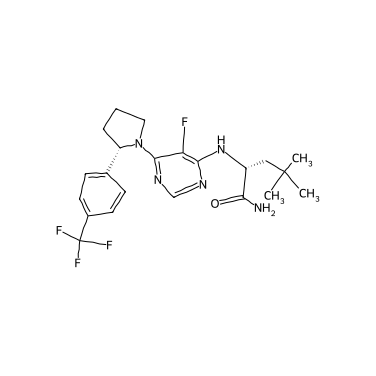 CC(C)(C)C[C@@H](Nc1ncnc(N2CCC[C@H]2c2ccc(C(F)(F)F)cc2)c1F)C(N)=O